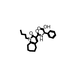 CCCCn1c2c(cc(C(=O)N[C@@H](C(=O)O)c3ccccc3)c1=O)CCCCC2